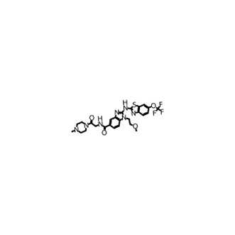 COCCn1c(Nc2nc3ccc(OC(F)(F)F)cc3s2)nc2cc(C(=O)NCC(=O)N3CCN(C)CC3)ccc21